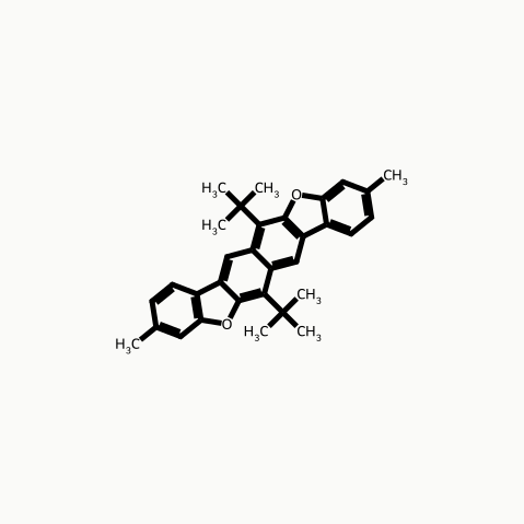 Cc1ccc2c(c1)oc1c(C(C)(C)C)c3cc4c(oc5cc(C)ccc54)c(C(C)(C)C)c3cc12